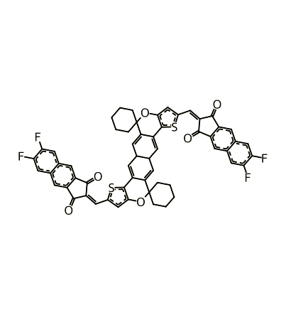 O=C1C(=Cc2cc3c(s2)C2=CC4C=C5C(=CC4C=C2C2(CCCCC2)O3)c2sc(C=C3C(=O)c4cc6cc(F)c(F)cc6cc4C3=O)cc2OC52CCCCC2)C(=O)c2cc3cc(F)c(F)cc3cc21